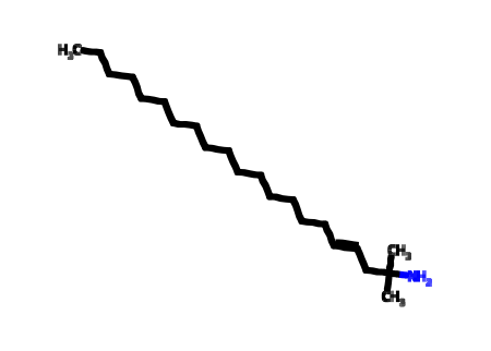 CCCCCCCCCCCCCCCCC=CCC(C)(C)N